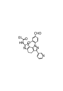 CCC(=O)Nc1nc2c(s1)-c1c(c(-c3cccnc3)nn1-c1ccc(C=O)cc1Cl)CC2